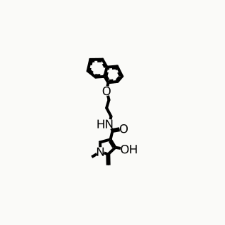 C=C1C(O)=C(C(=O)NCCCOc2cccc3ccccc23)CN1C